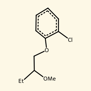 CCC(COc1ccccc1Cl)OC